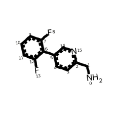 NCc1ccc(-c2c(F)cccc2F)cn1